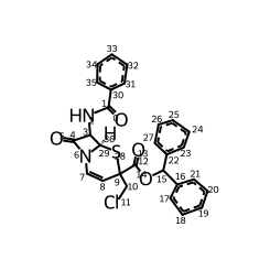 O=C(NC1C(=O)N2C=CC(CCl)(C(=O)OC(c3ccccc3)c3ccccc3)S[C@H]12)c1ccccc1